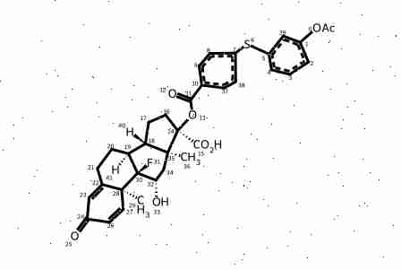 CC(=O)Oc1cccc(Sc2ccc(C(=O)O[C@]3(C(=O)O)CC[C@H]4[C@@H]5CCC6=CC(=O)C=C[C@]6(C)[C@@]5(F)[C@@H](O)C[C@@]43C)cc2)c1